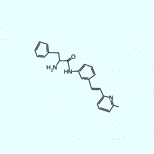 Cc1cccc(/C=C/c2cccc(NC(=O)C(N)Cc3ccccc3)c2)n1